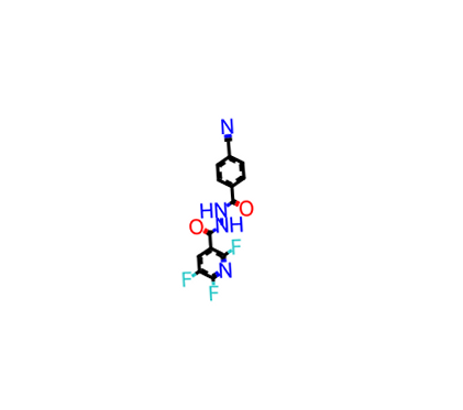 N#Cc1ccc(C(=O)NNC(=O)c2cc(F)c(F)nc2F)cc1